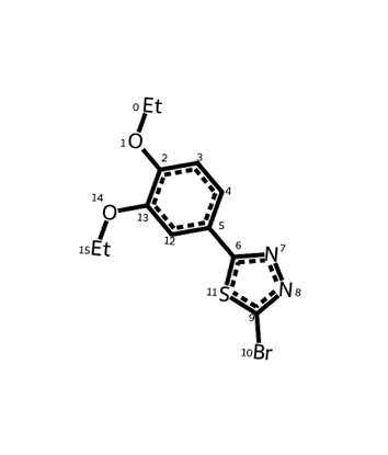 CCOc1ccc(-c2nnc(Br)s2)cc1OCC